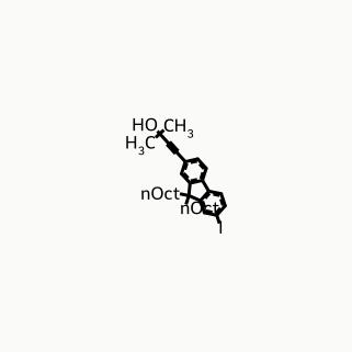 CCCCCCCCC1(CCCCCCCC)c2cc(I)ccc2-c2ccc(C#CC(C)(C)O)cc21